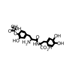 N[C@@H](Cc1ccc(OP(=O)(O)O)c(O)c1)C(=O)N[C@@H](Cc1ccc(O)c(O)c1)C(=O)O